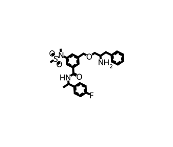 CC(NC(=O)c1cc(COCC(N)Cc2ccccc2)cc(N(C)S(C)(=O)=O)c1)c1ccc(F)cc1